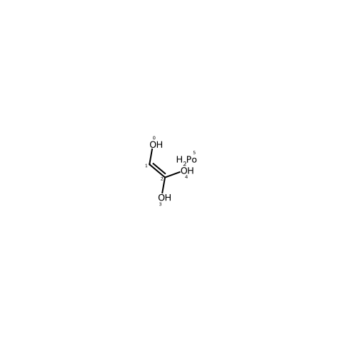 OC=C(O)O.[PoH2]